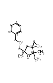 CCC1(COCc2ccccc2)CC2(CO2)C(C)(C)O1